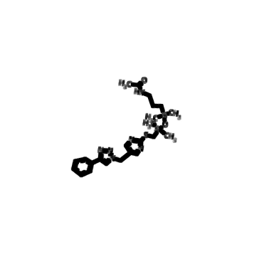 CC(=O)NCCC[Si](C)(C)O[Si](C)(C)CSc1ncc(Cn2cc(-c3ccccc3)nn2)cn1